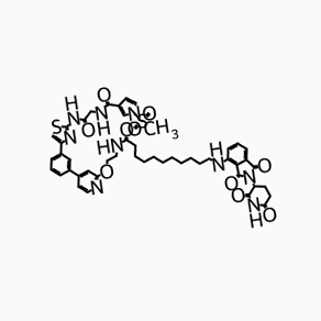 CS(=O)(=O)n1ccc(C(=O)NCC(=O)Nc2nc(-c3cccc(-c4ccnc(OCCNC(=O)CCCCCCCCCCNc5cccc6c5C(=O)N(C5CCC(=O)NC5=O)C6=O)c4)c3)cs2)c1